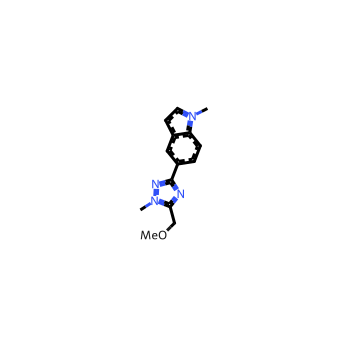 COCc1nc(-c2ccc3c(ccn3C)c2)nn1C